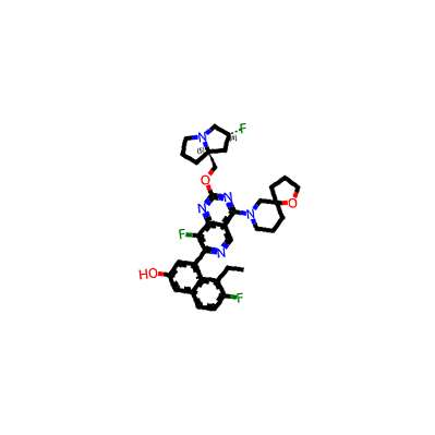 CCc1c(F)ccc2cc(O)cc(-c3ncc4c(N5CCCC6(CCCO6)C5)nc(OC[C@@]56CCCN5C[C@H](F)C6)nc4c3F)c12